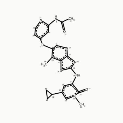 CC(=O)Nc1cc(Oc2cnc3nc(Nc4cc(C5CC5)cn(C)c4=O)sc3c2C)ccn1